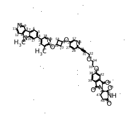 Cc1cc(-c2ccc3c4cnccc4n(C)c3c2)cnc1O[C@H]1C[C@H](Oc2ccc(C#CCOCCOc3ccc4c(c3)C(=O)N(C3CCC(=O)NC3=O)C4=O)nc2)C1